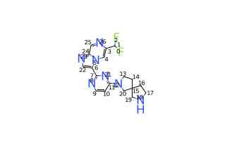 FC(F)c1cn2c(-c3nccc(N4CCC5(CCNC5)C4)n3)cnc2cn1